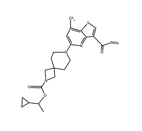 CNC(=O)c1csc2c(C(F)(F)F)cc(N3CCC4(CC3)CN(C(=O)OC(C)C3CC3)C4)nc12